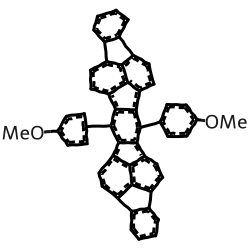 COc1ccc(-c2c3c4ccc5c6c(ccc(c3c(-c3ccc(OC)cc3)c3c7ccc8c9c(ccc(c23)c97)-c2ccccc2-8)c64)-c2ccccc2-5)cc1